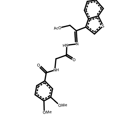 COc1ccc(C(=O)NCC(=O)N/N=C(\COC(C)=O)c2csc3ccccc23)cc1OC